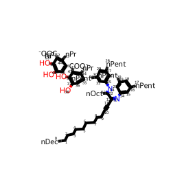 CCCCCCCCCCCCCCCCCCCC#CC(=Nc1cc(CCCCC)cc(CCCCC)c1)C(CCCCCCCC)=Nc1cc(CCCCC)cc(CCCCC)c1.CCCc1ccc(O)c(O)c1C(=O)[O-].CCCc1ccc(O)c(O)c1C(=O)[O-].[Ni+2]